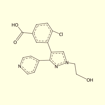 O=C(O)c1ccc(Cl)c(-c2cn(CCO)nc2-c2ccncc2)c1